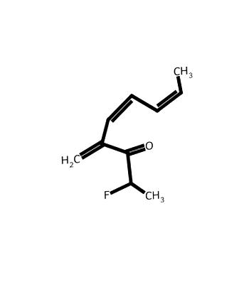 C=C(/C=C\C=C/C)C(=O)C(C)F